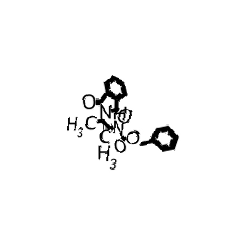 CC([C@@H](C)NC(=O)OCc1ccccc1)N1C(=O)c2ccccc2C1=O